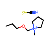 CCCOC[N+]1(C)CCCC1.N#C[S-]